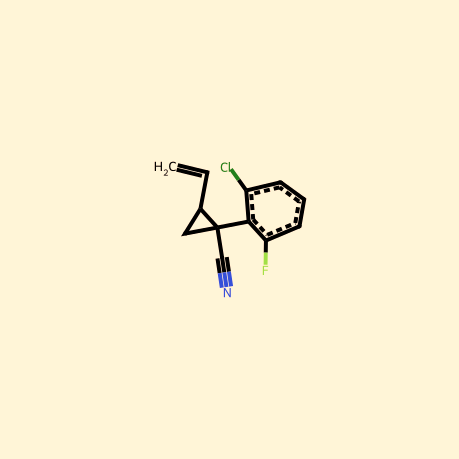 C=CC1CC1(C#N)c1c(F)cccc1Cl